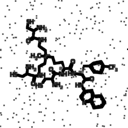 C[N+](CCC[C@H](NC(=O)C(N)CS)C(=O)N[C@H](Cc1ccc(C(F)(F)F)cc1)C(=O)Nc1cnc2ccccc2c1)(CCNC(=O)C(N)CS)CCNC(=O)C(N)CS